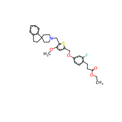 CCOC(=O)CCc1ccc(OCc2cc(OC)c(CN3CCC4(CCc5ccccc54)CC3)s2)cc1F